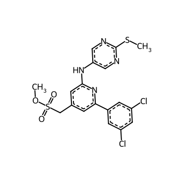 COS(=O)(=O)Cc1cc(Nc2cnc(SC)nc2)nc(-c2cc(Cl)cc(Cl)c2)c1